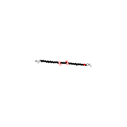 CCCCCCCCCCCCCCCCCOC(=O)CCCCC(=O)OCCCCCCCCCCCCCCCCC